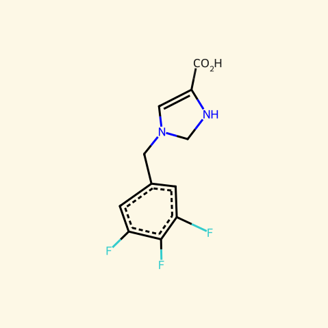 O=C(O)C1=CN(Cc2cc(F)c(F)c(F)c2)CN1